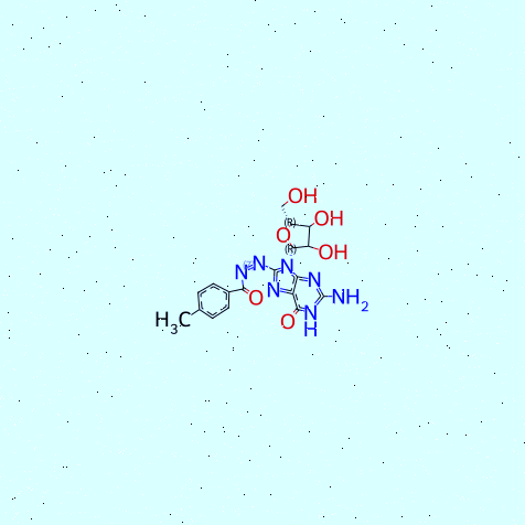 Cc1ccc(C(=O)/N=N\c2nc3c(=O)[nH]c(N)nc3n2[C@@H]2O[C@H](CO)C(O)C2O)cc1